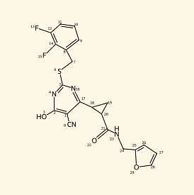 N#Cc1c(O)nc(SCc2cccc(F)c2F)nc1C1CC1C(=O)NCc1ccco1